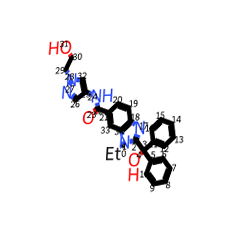 CCn1c(C(O)(c2ccccc2)c2ccccc2)nc2ccc(C(=O)Nc3cnn(CCO)c3)cc21